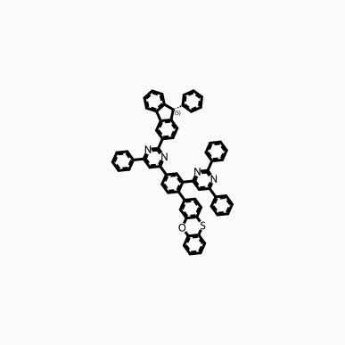 c1ccc(-c2cc(-c3ccc(-c4ccc5c(c4)Oc4ccccc4S5)c(-c4cc(-c5ccccc5)nc(-c5ccccc5)n4)c3)nc(-c3ccc4c(c3)-c3ccccc3[C@@H]4c3ccccc3)n2)cc1